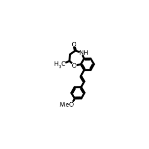 COc1ccc(C=Cc2cccc3c2OC(C)CC(=O)N3)cc1